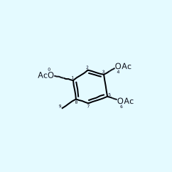 CC(=O)Oc1cc(OC(C)=O)c(OC(C)=O)cc1C